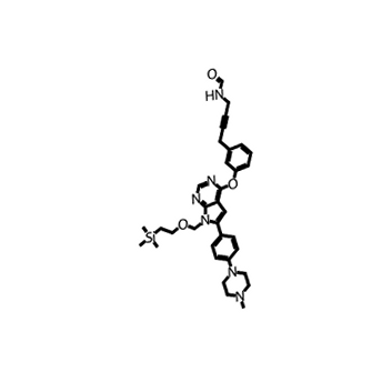 CN1CCN(c2ccc(-c3cc4c(Oc5cccc(CC#CCNC=O)c5)ncnc4n3COCC[Si](C)(C)C)cc2)CC1